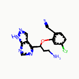 N#Cc1ccc(Cl)cc1OC(CCN)c1ncnc2[nH]ncc12